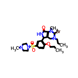 CCCOc1ccc(S(=O)(=O)N2CCN(C)CC2)cc1C1NC(=O)C2=C1CN(CCC)C(Br)N2C